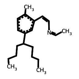 C/C=N\C=C/c1cc(C(CCCC)CCCC)ccc1C